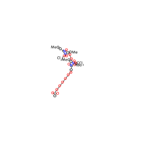 COc1ccc(C2=CN3C(=O)c4cc(OC)c(OCCCOc5cc6c(cc5OC)C(=O)N5C=C(c7ccc(OCCOCCCOCCCOCCCOCCCOCCC8C(=O)c9ccccc9C8=O)cc7)CC5[C@@H](O[Si](C)(C)C(C)(C)C)N6C(=O)OCC(Cl)(Cl)Cl)cc4N(C(=O)OCC(Cl)(Cl)Cl)[C@H](C)C3C2)cc1